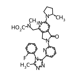 Cc1nnc(-c2cccc(N3Cc4c(cc(N5CCC[C@H]5C)nc4CN(C)C(=O)O)C3=O)n2)n1-c1ccccc1F